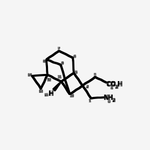 NCC1(CC(=O)O)C2CCC3CC1[C@@H]2C31CC1